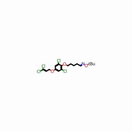 CC(C)(C)ON=CCCCCOc1c(Cl)cc(OCC=C(Cl)Cl)cc1Cl